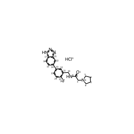 Cl.O=C(CN1CCCC1)NCc1cc(-c2ccc3[nH]nnc3c2)ccc1F